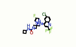 O=C(NC1CCC1)N1CC(CNc2cc(C(F)(F)F)nc3ccc(Cl)cc23)(n2cc(F)cn2)C1